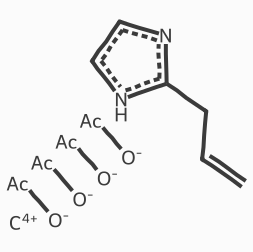 C=CCc1ncc[nH]1.CC(=O)[O-].CC(=O)[O-].CC(=O)[O-].CC(=O)[O-].[C+4]